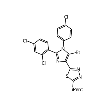 CCCC(C)c1nnc(-c2nc(-c3ccc(Cl)cc3Cl)n(-c3ccc(Cl)cc3)c2CC)s1